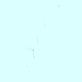 CCOC(=O)CCCOP(=O)(O)O